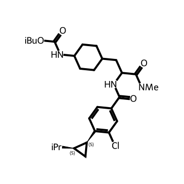 CNC(=O)C(CC1CCC(NC(=O)OCC(C)C)CC1)NC(=O)c1ccc([C@H]2C[C@H]2C(C)C)c(Cl)c1